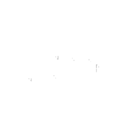 CC/C(=N\NC)Nc1cnc(C#N)cn1